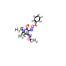 CON=C(C)C(=NOCc1ccccc1)C(=O)N(C)C